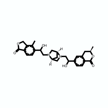 Cc1c(C(O)CN2C[C@@H]3C[C@H]2CN3CC(O)c2ccc3c(c2)C[C@@H](C)OC3=O)ccc2c1COC2=O